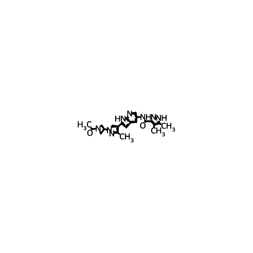 CC(=O)N1CC(n2cc(-c3cc4cc(NC(=O)c5n[nH]c(C)c5C)cnc4[nH]3)c(C)n2)C1